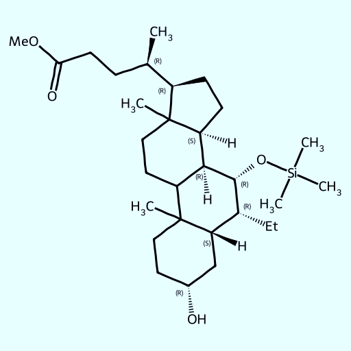 CC[C@H]1[C@@H](O[Si](C)(C)C)[C@H]2C(CCC3(C)[C@@H]([C@H](C)CCC(=O)OC)CC[C@@H]23)C2(C)CC[C@@H](O)C[C@@H]12